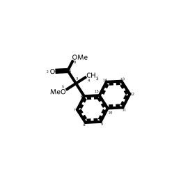 COC(=O)C(C)(OC)c1cccc2ccccc12